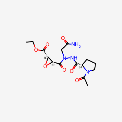 CCOC(=O)[C@H]1O[C@@H]1C(=O)N(CC(N)=O)NC(=O)[C@@H]1CCCN1C(C)=O